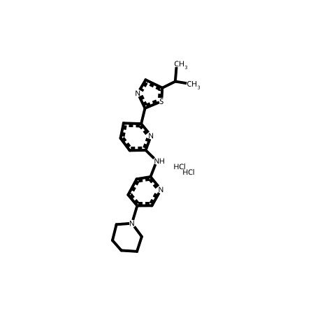 CC(C)c1cnc(-c2cccc(Nc3ccc(N4CCCCC4)cn3)n2)s1.Cl.Cl